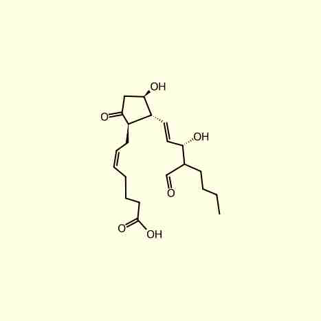 CCCCC(C=O)[C@@H](O)/C=C/[C@H]1[C@H](O)CC(=O)[C@@H]1C/C=C\CCCC(=O)O